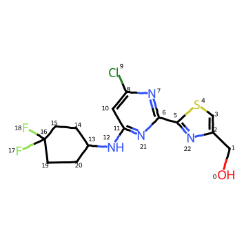 OCc1csc(-c2nc(Cl)cc(NC3CCC(F)(F)CC3)n2)n1